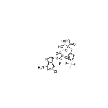 Nc1nc(Cl)nc2c1ncn2[C@@H]1O[C@H](COC(Cc2ccc(C(F)(F)F)nc2)(C(=O)O)C(O)O)[C@@H](O)[C@@H]1F